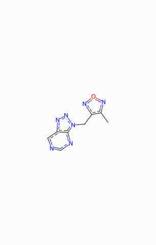 Cc1nonc1Cn1nnc2cncnc21